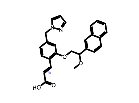 COC(COc1cc(Cn2cccn2)ccc1/C=C/C(=O)O)c1ccc2ccccc2c1